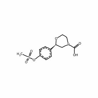 CS(=O)(=O)Oc1ccc([C@@H]2CN(C(=O)O)CCO2)cc1